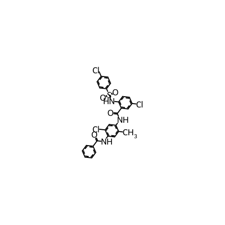 Cc1cc(NC(=O)c2ccccc2)c(Cl)cc1NC(=O)c1cc(Cl)ccc1NS(=O)(=O)c1ccc(Cl)cc1